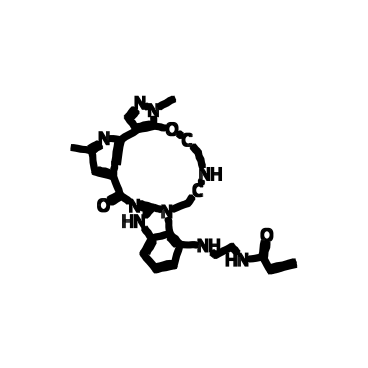 C=CC(=O)NCCNc1cccc2c1N1CCNCCOc3c(cnn3C)-c3cc(cc(C)n3)C(=O)/N=C/1N2